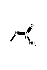 C/N=[SH](\N)=O